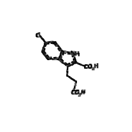 O=C(O)CCc1c(C(=O)O)[nH]c2cc(Cl)ccc12